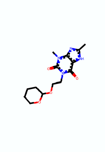 Cc1nc2c([nH]1)c(=O)n(CCOC1CCCCO1)c(=O)n2C